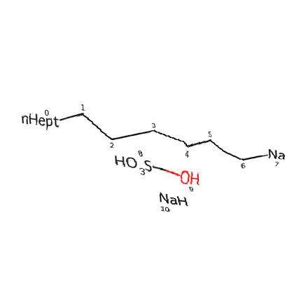 CCCCCCCCCCCC[CH2][Na].O=S(=O)(O)O.[NaH]